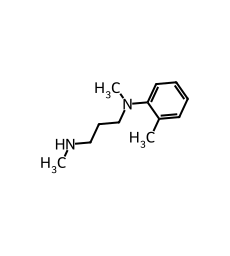 CNCCCN(C)c1ccccc1C